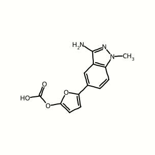 Cn1nc(N)c2cc(-c3ccc(OC(=O)O)o3)ccc21